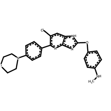 CNc1ccc(Oc2nc3nc(-c4ccc(N5CCOCC5)cc4)c(Cl)cc3[nH]2)cc1